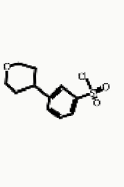 O=S(=O)(Cl)c1cccc(C2CCOCC2)c1